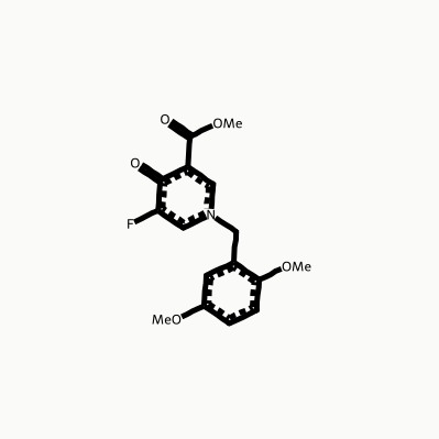 COC(=O)c1cn(Cc2cc(OC)ccc2OC)cc(F)c1=O